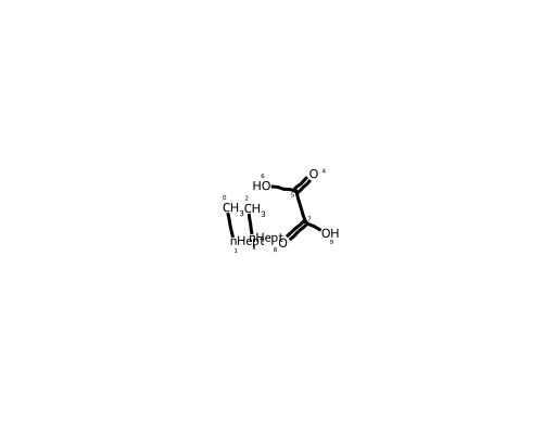 CCCCCCCC.CCCCCCCC.O=C(O)C(=O)O